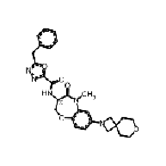 CN1C(=O)[C@H](NC(=O)c2nnc(Cc3ccccc3)o2)COc2ccc(N3CC4(CCOCC4)C3)cc21